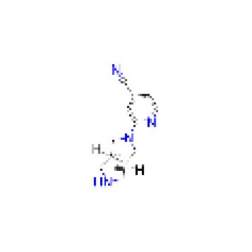 N#Cc1ccnc(N2C[C@H]3CNC[C@H]3C2)c1